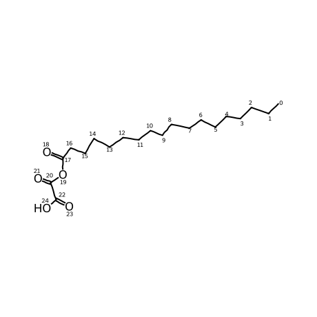 CCCCCCCCCCCCCCCCCC(=O)OC(=O)C(=O)O